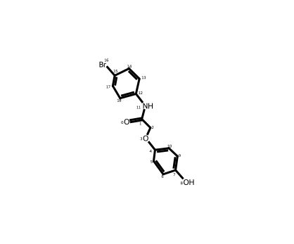 O=C(COc1ccc(O)cc1)Nc1ccc(Br)cc1